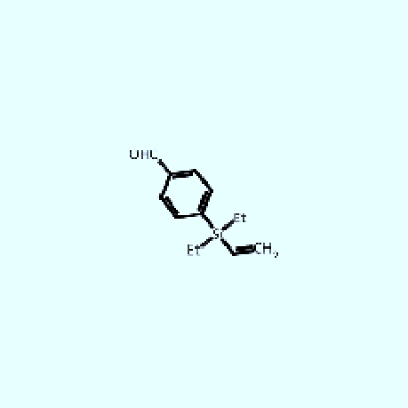 C=C[Si](CC)(CC)c1ccc(C=O)cc1